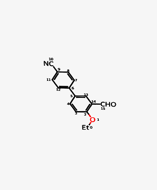 CCOc1ccc(-c2ccc(C#N)cc2)cc1C=O